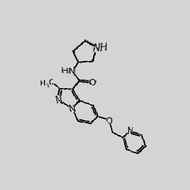 Cc1nn2ccc(OCc3ccccn3)cc2c1C(=O)NC1CCNC1